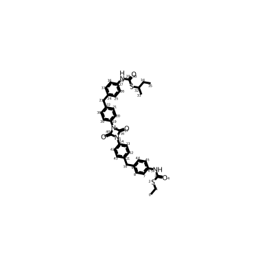 CCSC(=O)Nc1ccc(Cc2ccc(N3C(=O)N(c4ccc(Cc5ccc(NC(=O)SC(C)CC)cc5)cc4)C3=O)cc2)cc1